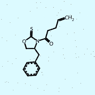 C=CCCC(=O)N1C(=S)OCC1Cc1ccccc1